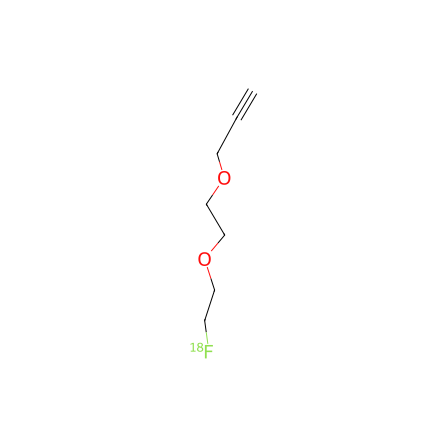 C#CCOCCOCC[18F]